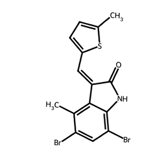 Cc1ccc(C=C2C(=O)Nc3c(Br)cc(Br)c(C)c32)s1